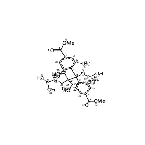 COC(=O)c1cc(C(C)(C)C)c(C(OP(O)O)(c2c(C(C)(C)C)cc(C(=O)OC)cc2C(C)(C)C)C(CO)(CO)COP(O)O)c(C(C)(C)C)c1